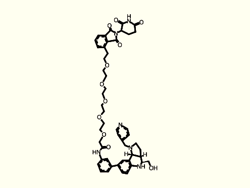 O=C1CCC(N2C(=O)c3cccc(CCOCCOCCOCCOCCOCC(=O)Nc4cccc(-c5ccc6c(c5)[C@H]5[C@H](CCN5Cc5ccncc5)[C@@H](CO)N6)c4)c3C2=O)C(=O)N1